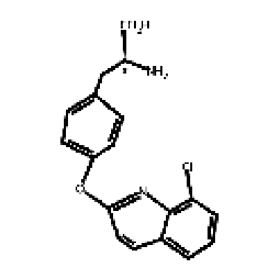 N[C@@H](Cc1ccc(Oc2ccc3cccc(Cl)c3n2)cc1)C(=O)O